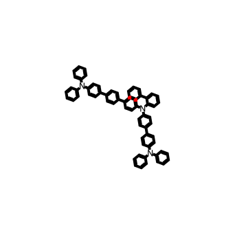 c1ccc(-c2ccccc2N(c2ccc(-c3ccc(-c4ccc(N(c5ccccc5)c5ccccc5)cc4)cc3)cc2)c2ccc(-c3ccc(N(c4ccccc4)c4ccccc4)cc3)cc2)cc1